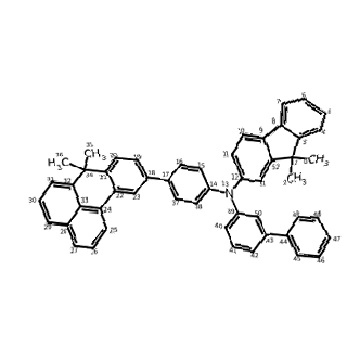 CC1(C)c2ccccc2-c2ccc(N(c3ccc(-c4ccc5c(c4)-c4cccc6cccc(c46)C5(C)C)cc3)c3cccc(-c4ccccc4)c3)cc21